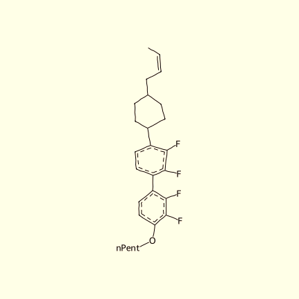 C/C=C\CC1CCC(c2ccc(-c3ccc(OCCCCC)c(F)c3F)c(F)c2F)CC1